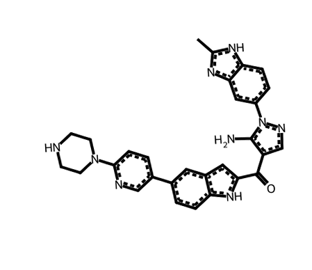 Cc1nc2cc(-n3ncc(C(=O)c4cc5cc(-c6ccc(N7CCNCC7)nc6)ccc5[nH]4)c3N)ccc2[nH]1